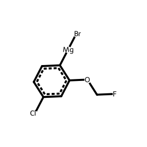 FCOc1cc(Cl)cc[c]1[Mg][Br]